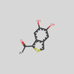 CC(C)C(=O)c1scc2cc(O)c(O)cc12